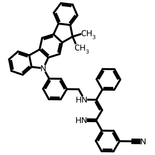 CC1(C)c2ccccc2-c2cc3c4ccccc4n(-c4cccc(CN/C(=C\C(=N)c5cccc(C#N)c5)c5ccccc5)c4)c3cc21